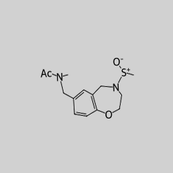 CC(=O)N(C)Cc1ccc2c(c1)CN([S+](C)[O-])CCO2